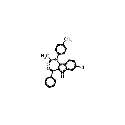 CC(=O)N(c1ccc(C)cc1)c1c(C(=O)c2ccccc2)[nH]c2cc(Cl)ccc12